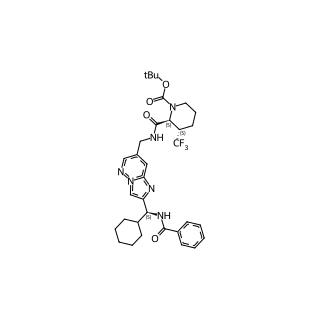 CC(C)(C)OC(=O)N1CCC[C@H](C(F)(F)F)[C@H]1C(=O)NCc1cnn2cc([C@@H](NC(=O)c3ccccc3)C3CCCCC3)nc2c1